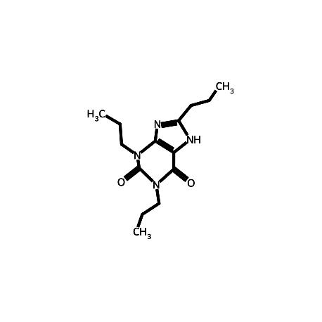 CCCc1nc2c([nH]1)c(=O)n(CCC)c(=O)n2CCC